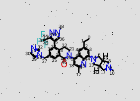 CCc1cc(N2C[C@H]3CN(C)C[C@H]3C2)c2nc(C)cc(N3CCc4c(cc(Cn5ccnc5)cc4-c4cn(C)nc4C(F)(F)F)C3=O)c2c1